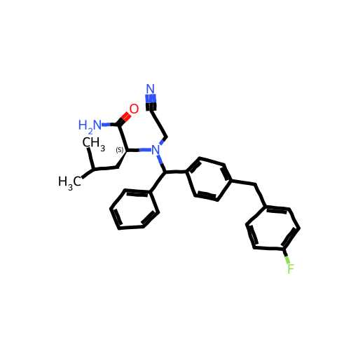 CC(C)C[C@@H](C(N)=O)N(CC#N)C(c1ccccc1)c1ccc(Cc2ccc(F)cc2)cc1